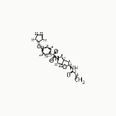 C=CC(=O)NC1CC2CN(S(=O)(=O)c3ccc(OC4CCCC4)cc3)CC2O1